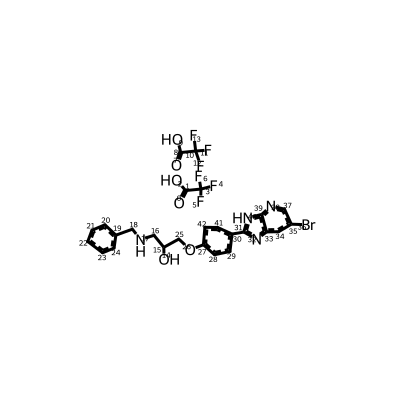 O=C(O)C(F)(F)F.O=C(O)C(F)(F)F.OC(CNCc1ccccc1)COc1ccc(-c2nc3cc(Br)cnc3[nH]2)cc1